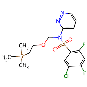 CS(C)(C)CCOCN(c1cccnn1)S(=O)(=O)c1cc(Cl)c(F)cc1F